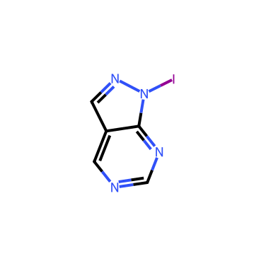 In1ncc2cncnc21